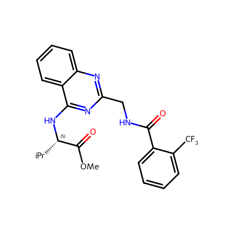 COC(=O)[C@@H](Nc1nc(CNC(=O)c2ccccc2C(F)(F)F)nc2ccccc12)C(C)C